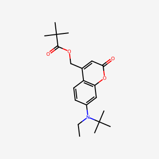 CCN(c1ccc2c(COC(=O)C(C)(C)C)cc(=O)oc2c1)C(C)(C)C